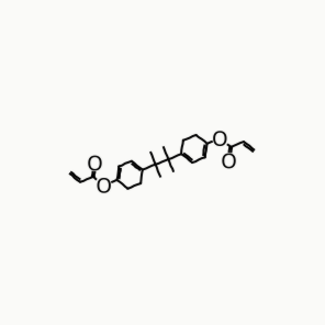 C=CC(=O)OC1=CC=C(C(C)(C)C(C)(C)C2=CC=C(OC(=O)C=C)CC2)CC1